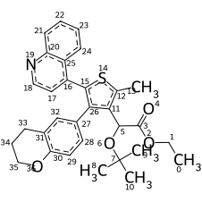 CCOC(=O)C(OC(C)(C)C)c1c(C)sc(-c2ccnc3ccccc23)c1-c1ccc2c(c1)CCCO2